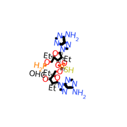 CC[C@H]1[C@H](n2cnc3c(N)ncnc32)O[C@](CC)(CO[P@@](=O)(S)O[C@H]2[C@@H](CC)[C@H](n3cnc4c(N)ncnc43)O[C@]2(CC)COP)[C@H]1OC=O